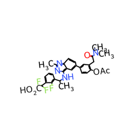 CC(=O)Oc1ccc(-c2ccc3nc(C)nc(NC(C)c4cccc(C(F)(F)C(=O)O)c4F)c3c2)cc1CC(=O)N(C)C